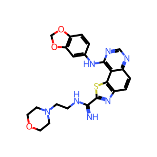 N=C(NCCN1CCOCC1)c1nc2ccc3ncnc(Nc4ccc5c(c4)OCO5)c3c2s1